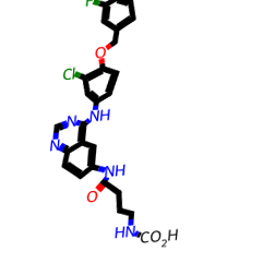 O=C(O)NCCCC(=O)Nc1ccc2ncnc(Nc3ccc(OCc4cccc(F)c4)c(Cl)c3)c2c1